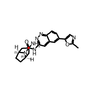 Cc1ncc(-c2ccc3nnc(NC(=O)N4[C@@H]5CC[C@H]4CC(N)C5)cc3c2)o1